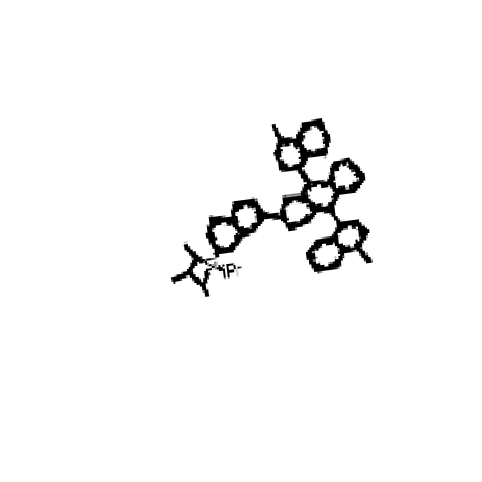 Cc1ccc(-c2c3ccccc3c(-c3ccc(C)c4ccccc34)c3cc(-c4ccc5ccc([Si]6(C(C)C)C(C)C(C)C6C)cc5c4)ccc23)c2ccccc12